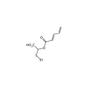 C=CC=CC(=O)OC(SCC)C(=O)O